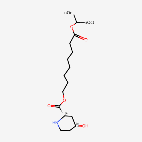 CCCCCCCCC(CCCCCCCC)OC(=O)CCCCCCCOC(=O)[C@@H]1C[C@@H](O)CCN1